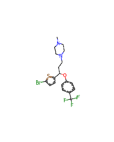 CN1CCN(CCC(Oc2ccc(C(F)(F)F)cc2)c2ccc(Br)s2)CC1